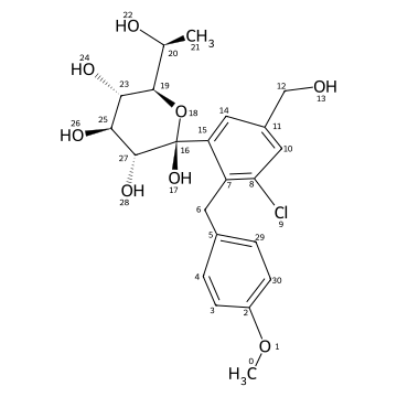 COc1ccc(Cc2c(Cl)cc(CO)cc2[C@@]2(O)O[C@H]([C@H](C)O)[C@@H](O)[C@H](O)[C@H]2O)cc1